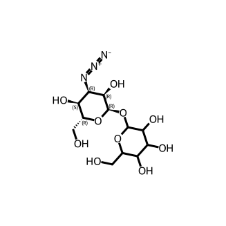 [N-]=[N+]=N[C@H]1[C@@H](O)[C@@H](OC2OC(CO)C(O)C(O)C2O)O[C@H](CO)[C@H]1O